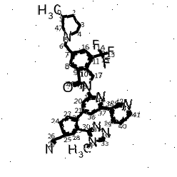 C[C@H]1CCCN(Cc2cc3c(c(C(F)(F)F)c2)CN(c2cc(-c4ccc(C#N)cc4-c4nncn4C)cc(-c4cccnc4)n2)C3=O)C1